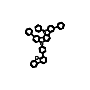 c1ccc(-c2ccc3c(c2)c2c(ccc4c5cc(-c6ccccc6)ccc5n(-c5ccccc5)c42)n3-c2ccc(-c3cccc4c3oc3ccccc34)cc2)cc1